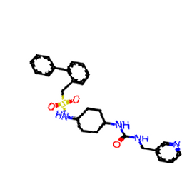 O=C(NCc1cccnc1)NC1CCC(NS(=O)(=O)Cc2ccccc2-c2ccccc2)CC1